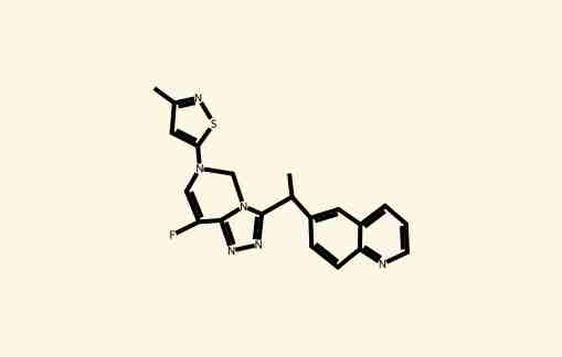 Cc1cc(N2C=C(F)c3nnc(C(C)c4ccc5ncccc5c4)n3C2)sn1